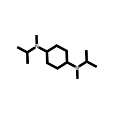 CC(C)N(C)C1CCC(N(C)C(C)C)CC1